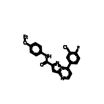 CCOc1ccc(NC(=O)c2cc3nccc(-c4ccc(F)c(Cl)c4)n3n2)cc1